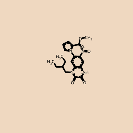 CCC(CC)Cn1c(=O)c(=O)[nH]c2cc([N+](=O)[O-])c(-n3cccc3C(=O)OC)cc21